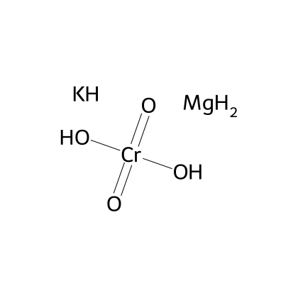 [KH].[MgH2].[O]=[Cr](=[O])([OH])[OH]